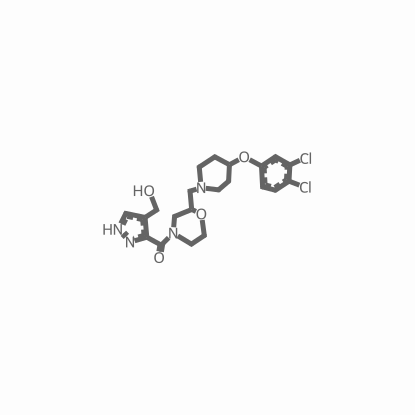 O=C(c1n[nH]cc1CO)N1CCOC(CN2CCC(Oc3ccc(Cl)c(Cl)c3)CC2)C1